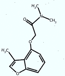 Cc1coc2cccc(OCC(=O)N(C)C)c12